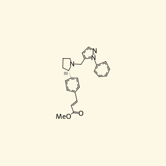 COC(=O)C=Cc1ccc([C@@H]2CCCN2Cc2ccnn2-c2ccccc2)cc1